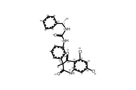 C[C@H](NC(=O)Nc1cccc(C2(C)C(=O)Nc3cc(Cl)cc(Cl)c3C2=O)c1)c1ccccc1